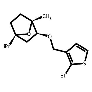 CCc1sccc1CO[C@H]1C[C@]2(C(C)C)CC[C@@]1(C)O2